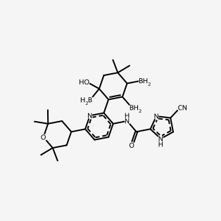 BC1=C(c2nc(C3CC(C)(C)OC(C)(C)C3)ccc2NC(=O)c2nc(C#N)c[nH]2)C(B)(O)CC(C)(C)C1B